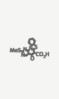 CSc1ncc2c(=O)c(C(=O)O)c3sc4ccccc4n3c2n1